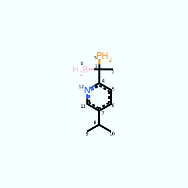 BC(C)(P)c1ccc(C(C)C)cn1